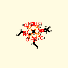 CCOP(=O)(O)C(P(=O)(O)OCC)(P(=O)(O)OCC)P(=O)(O)OCC